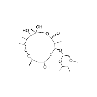 CCC(C)O[C@H](COC)O[C@H]1CCC(O)C[C@@H](C)CCN(C)C(C)C(O)[C@](C)(O)COC(=O)C1C